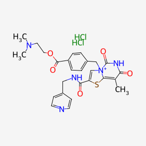 CC1=C2SC(C(=O)NCc3ccncc3)=C[N+]2(Cc2ccc(C(=O)OCCN(C)C)cc2)C(=O)NC1=O.Cl.Cl